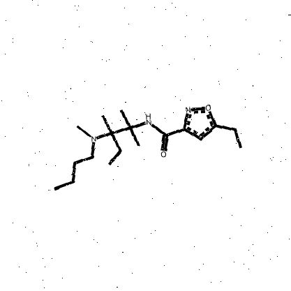 CCCCN(C)C(C)(CC)C(C)(C)NC(=O)c1cc(CC)on1